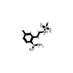 CCN(N)c1ccc(C)cc1CCNS(C)(=O)=O